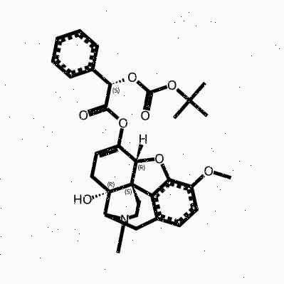 COc1ccc2c3c1O[C@H]1C(OC(=O)[C@@H](OC(=O)OC(C)(C)C)c4ccccc4)=CC[C@]4(O)C(C2)N(C)CC[C@]314